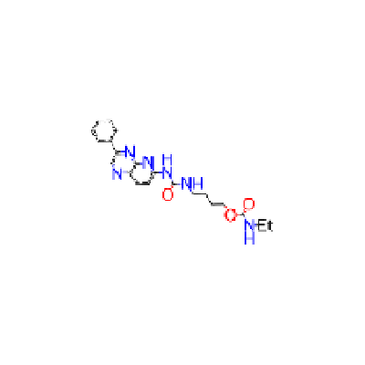 CCNC(=O)OCCCCNC(=O)Nc1ccc2ncc(-c3ccccc3)nc2n1